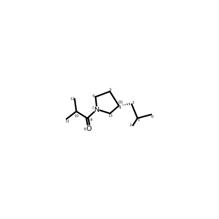 CC(C)C[C@H]1CCN(C(=O)C(C)C)C1